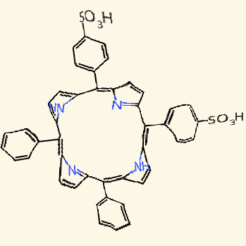 O=S(=O)(O)c1ccc(-c2c3nc(c(-c4ccc(S(=O)(=O)O)cc4)c4ccc([nH]4)c(-c4ccccc4)c4nc(c(-c5ccccc5)c5ccc2[nH]5)C=C4)C=C3)cc1